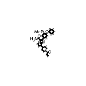 C=CC(=O)N1CCC(C2CCn3c2nc(-c2ccc(Oc4ccccc4)c(OC)c2)c3C(N)=O)CC1